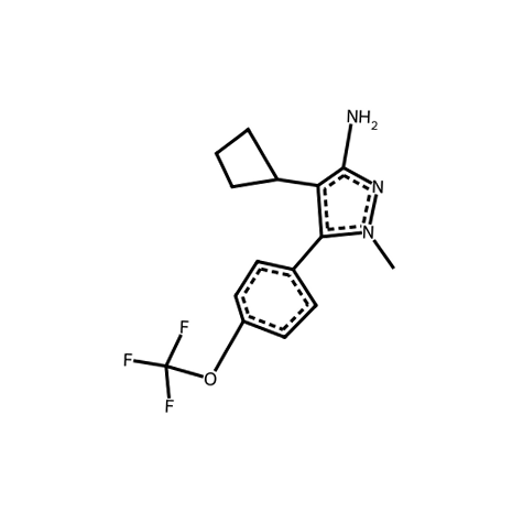 Cn1nc(N)c(C2CCC2)c1-c1ccc(OC(F)(F)F)cc1